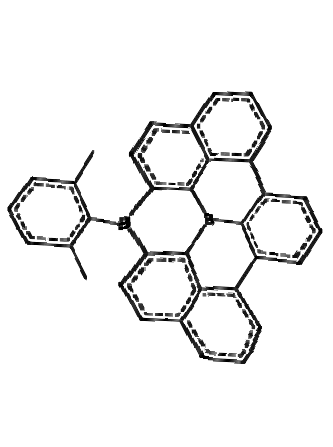 Cc1cccc(C)c1B1c2ccc3cccc4c3c2B2c3c-4cccc3-c3cccc4ccc1c2c34